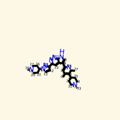 Cc1cc(-c2c[nH]c3nnc(-c4ccn(C5CCN(C)CC5)n4)cc23)nc(C)c1C1CCN(C)CC1